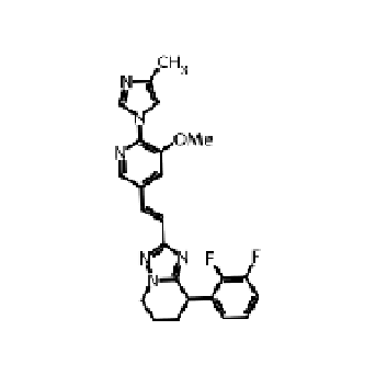 COc1cc(/C=C/c2nc3n(n2)CCCC3c2cccc(F)c2F)cnc1-n1cnc(C)c1